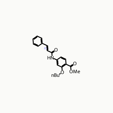 CCCCOc1cc(NC(=O)/C=C/c2ccccc2)ccc1C(=O)OC